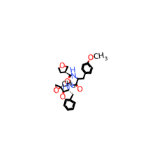 COc1ccc(CC(NC(=O)[C@H]2CCOC2)C(=O)N[C@H](Cc2ccccc2)C(=O)[C@]2(C)CO2)cc1